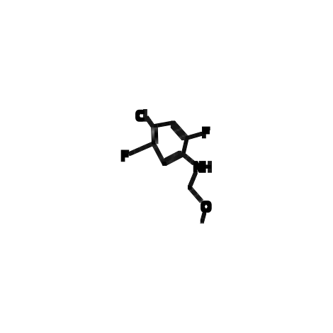 COCNc1cc(F)c(Cl)cc1F